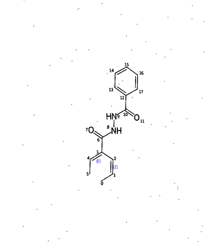 C/C=C\C(=C/C)C(=O)NNC(=O)c1ccccc1